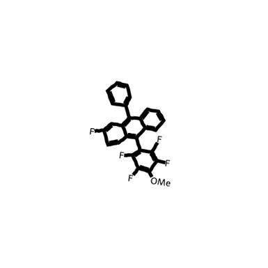 COc1c(F)c(F)c(-c2c3ccccc3c(-c3ccccc3)c3cc(F)ccc23)c(F)c1F